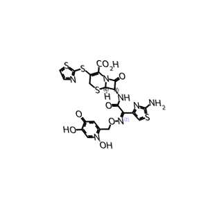 Nc1nc(/C(=N/OCc2cc(=O)c(O)cn2O)C(=O)N[C@@H]2C(=O)N3C(C(=O)O)=C(Sc4nccs4)CS[C@H]23)cs1